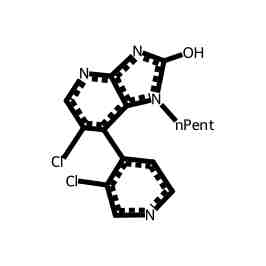 CCCCCn1c(O)nc2ncc(Cl)c(-c3ccncc3Cl)c21